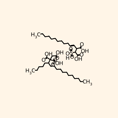 CCCCCCCCCCC=CC(C(=O)O)C(C(=O)O)S(=O)(=O)O.CCCCCCCCCCCCC(CCCCC)C(CC(=O)O)(C(=O)O)S(=O)(=O)O